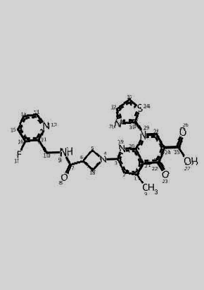 Cc1cc(N2CC(C(=O)NCc3ncccc3F)C2)nc2c1c(=O)c(C(=O)O)cn2-c1nccs1